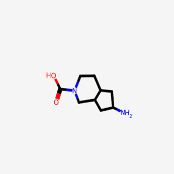 NC1CC2CCN(C(=O)O)CC2C1